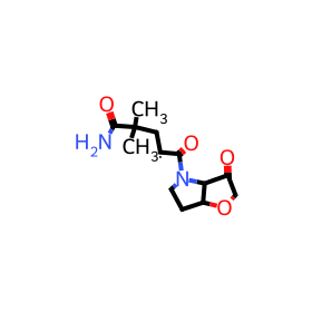 CC(C)(C[CH]C(=O)N1CCC2OCC(=O)C21)C(N)=O